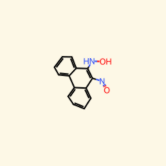 O=Nc1c(NO)c2ccccc2c2ccccc12